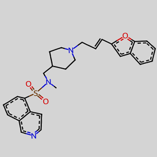 CN(CC1CCN(C/C=C/c2cc3ccccc3o2)CC1)S(=O)(=O)c1cccc2cnccc12